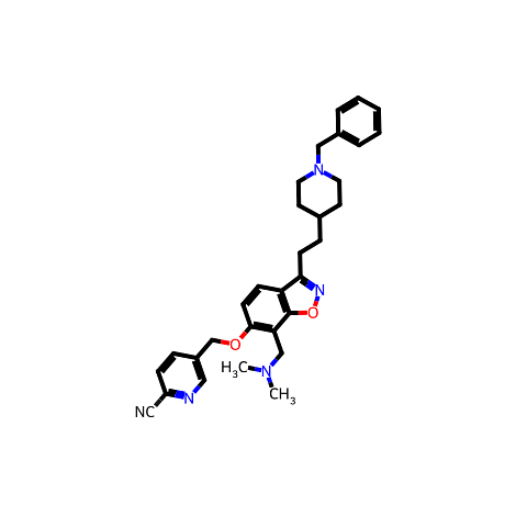 CN(C)Cc1c(OCc2ccc(C#N)nc2)ccc2c(CCC3CCN(Cc4ccccc4)CC3)noc12